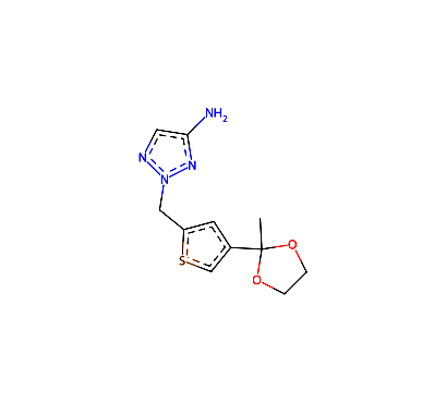 CC1(c2csc(Cn3ncc(N)n3)c2)OCCO1